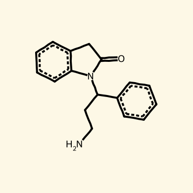 NCCC(c1ccccc1)N1C(=O)Cc2ccccc21